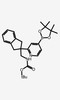 CC(C)(C)OC(=O)NCC1(c2cc(B3OC(C)(C)C(C)(C)O3)ccn2)Cc2ccccc2C1